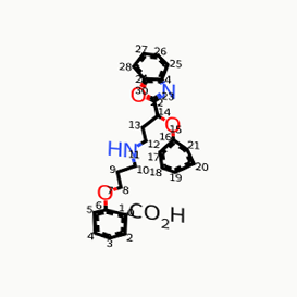 O=C(O)c1ccccc1OCCCNCCC(Oc1ccccc1)c1nc2ccccc2o1